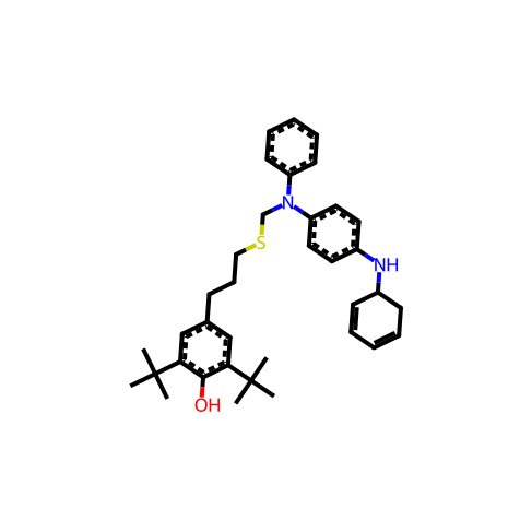 CC(C)(C)c1cc(CCCSCN(c2ccccc2)c2ccc(NC3C=CC=CC3)cc2)cc(C(C)(C)C)c1O